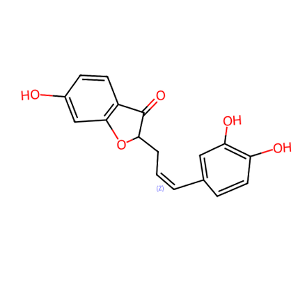 O=C1c2ccc(O)cc2OC1C/C=C\c1ccc(O)c(O)c1